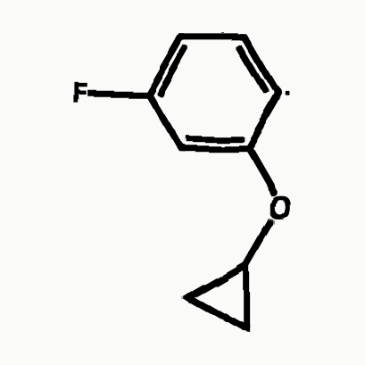 Fc1cc[c]c(OC2CC2)c1